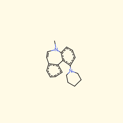 CN1C=Cc2ccccc2-c2c1cccc2N1CCCCC1